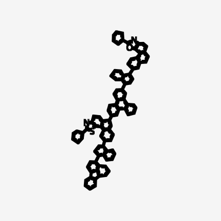 c1ccc(-c2nc3ccc4ccc5cc(-c6ccc(-c7ccc8c9ccc(-c%10cc%11ccc(-c%12ccc(-c%13ccc%14c%15c(cccc%13%15)-c%13ccccc%13-%14)c%13ccccc%12%13)cc%11c%11c%10ccc%10nc(-c%12ccccc%12)sc%10%11)cc9c9ccccc9c8c7)c7ccccc67)ccc5c4c3o2)cc1